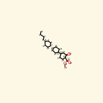 CCCC[C@H]1CC[C@H](C2CCC(C3CC[C@](C)(C(=O)OC)C(=O)C3)CC2)CC1